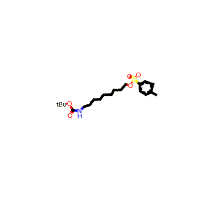 Cc1ccc(S(=O)(=O)OCCCCCCCCCNC(=O)OC(C)(C)C)cc1